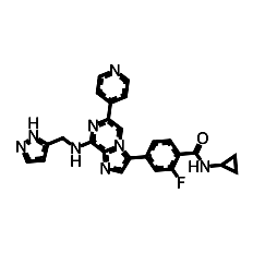 O=C(NC1CC1)c1ccc(-c2cnc3c(NCc4ccn[nH]4)nc(-c4ccncc4)cn23)cc1F